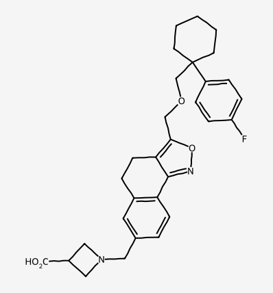 O=C(O)C1CN(Cc2ccc3c(c2)CCc2c-3noc2COCC2(c3ccc(F)cc3)CCCCC2)C1